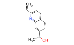 C=Cc1ccc2ccc([C@@H](C)O)cc2n1